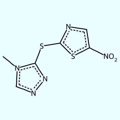 Cn1cnnc1Sc1ncc([N+](=O)[O-])s1